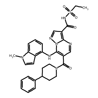 CCS(=O)(=O)NC(=O)c1cnn2c(Nc3cccc4c3ccn4C)c(C(=O)N3CCC(c4ccccc4)CC3)cnc12